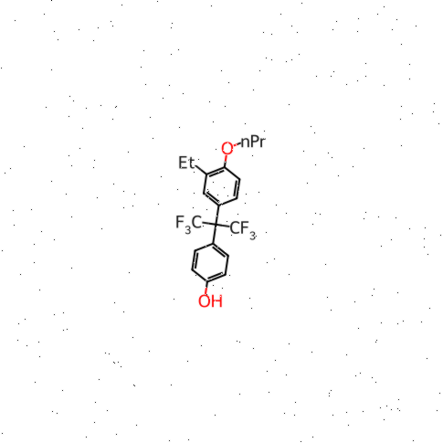 CCCOc1ccc(C(c2ccc(O)cc2)(C(F)(F)F)C(F)(F)F)cc1CC